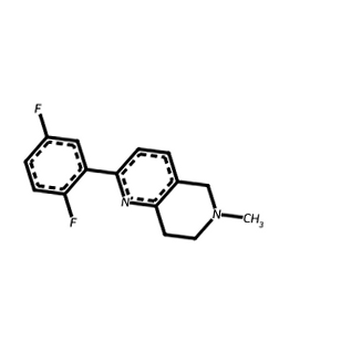 CN1CCc2nc(-c3cc(F)ccc3F)ccc2C1